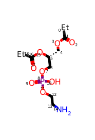 CCC(=O)OC[C@H](COP(=O)(O)OCCN)OC(=O)CC